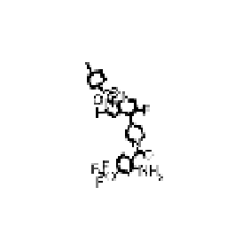 Cc1ccc(S(=O)(=O)n2c(I)cc3c(C4CCN(C(=O)c5ccc(OC(F)(F)F)cc5N)CC4)c(F)cnc32)cc1